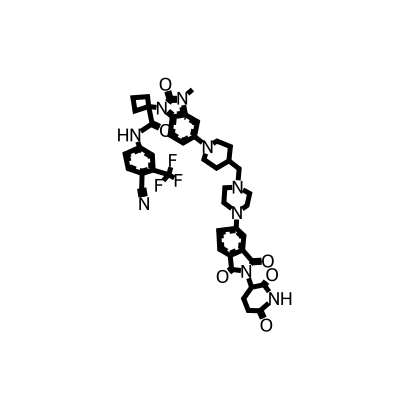 Cn1c(=O)n(C2(C(=O)Nc3ccc(C#N)c(C(F)(F)F)c3)CCC2)c2ccc(N3CCC(CN4CCN(c5ccc6c(c5)C(=O)N(C5CCC(=O)NC5=O)C6=O)CC4)CC3)cc21